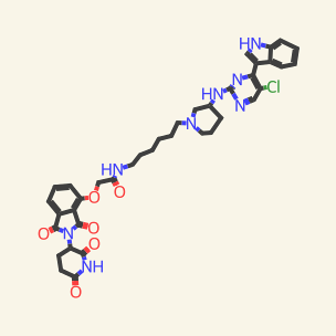 O=C(COc1cccc2c1C(=O)N(C1CCC(=O)NC1=O)C2=O)NCCCCCCN1CCCC(Nc2ncc(Cl)c(-c3c[nH]c4ccccc34)n2)C1